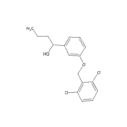 CCCC(O)c1cccc(OCc2c(Cl)cccc2Cl)c1